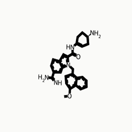 COc1ccc(Cn2c(C(=O)NC3=CC[C@@H](N)CC3)cc3ccc(C(=N)N)cc32)c2ccccc12